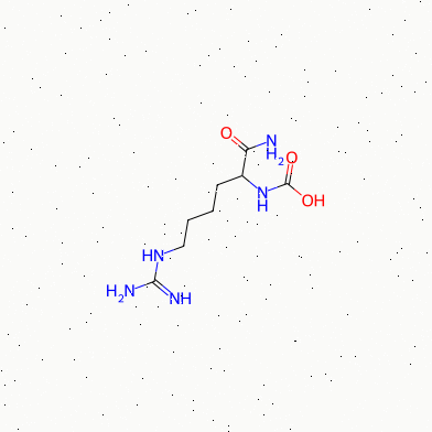 N=C(N)NCCCCC(NC(=O)O)C(N)=O